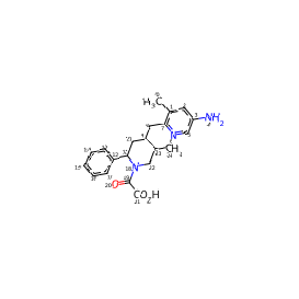 Cc1cc(N)cnc1CC1CC(c2ccccc2)N(C(=O)C(=O)O)CC1C